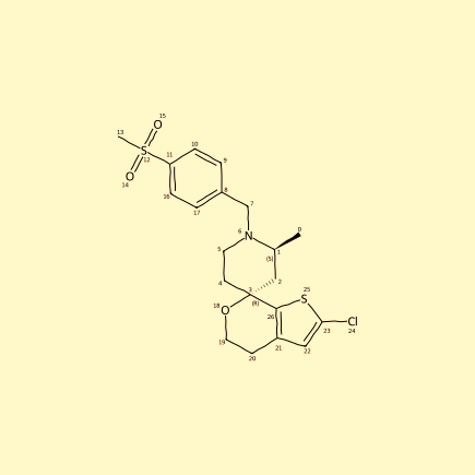 C[C@H]1C[C@@]2(CCN1Cc1ccc(S(C)(=O)=O)cc1)OCCc1cc(Cl)sc12